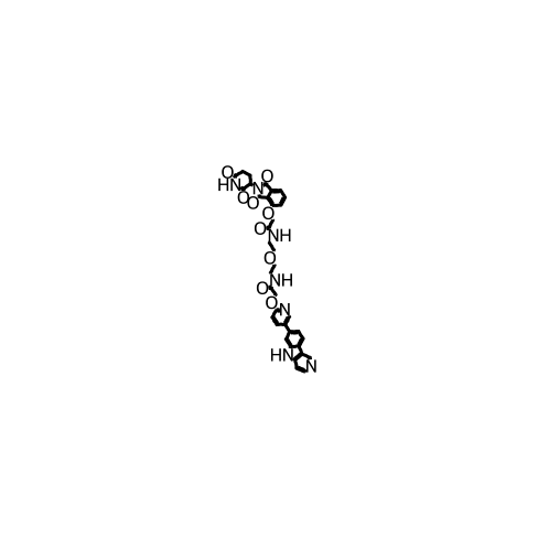 O=C(COc1ccc(-c2ccc3c(c2)[nH]c2ccncc23)cn1)NCCOCCNC(=O)COc1cccc2c1C(=O)N(C1CCC(=O)NC1=O)C2=O